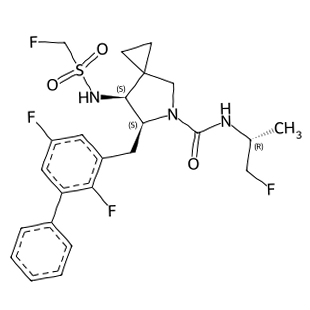 C[C@H](CF)NC(=O)N1CC2(CC2)[C@H](NS(=O)(=O)CF)[C@@H]1Cc1cc(F)cc(-c2ccccc2)c1F